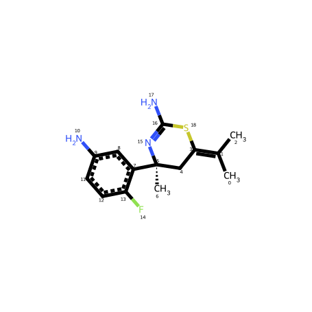 CC(C)=C1C[C@@](C)(c2cc(N)ccc2F)N=C(N)S1